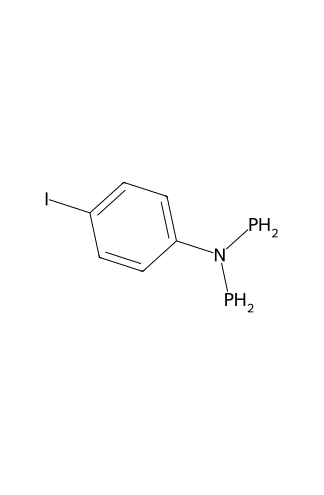 PN(P)c1ccc(I)cc1